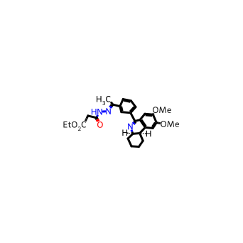 CCOC(=O)CC(=O)NN=C(C)c1cccc(C2=N[C@@H]3CCCC[C@@H]3c3cc(OC)c(OC)cc32)c1